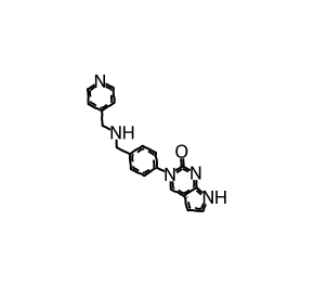 O=c1nc2[nH]ccc2cn1-c1ccc(CNCc2ccncc2)cc1